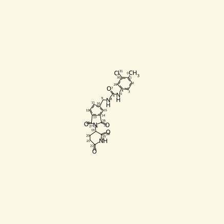 Cc1ccc(NC(=O)NCc2ccc3c(c2)C(=O)N(C2CCC(=O)NC2=O)C3=O)cc1Cl